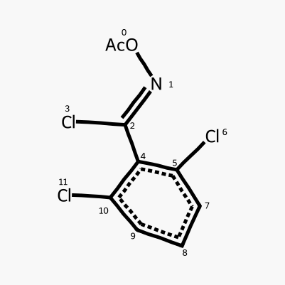 CC(=O)ON=C(Cl)c1c(Cl)cccc1Cl